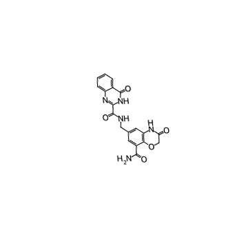 NC(=O)c1cc(CNC(=O)c2nc3ccccc3c(=O)[nH]2)cc2c1OCC(=O)N2